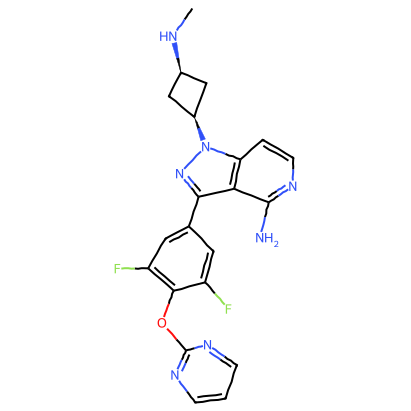 CN[C@H]1C[C@@H](n2nc(-c3cc(F)c(Oc4ncccn4)c(F)c3)c3c(N)nccc32)C1